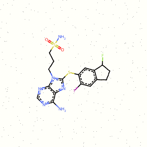 Nc1ncnc2c1nc(Sc1cc3c(cc1I)CCC3F)n2CCCS(N)(=O)=O